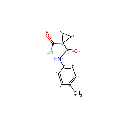 Cc1ccc(NC(=O)C2(C(=O)Cl)CC2)cc1